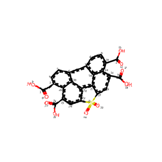 O=C(O)c1ccc2c3ccc(C(=O)O)c4c(C(=O)O)cc5c(c6c(cc(C(=O)O)c1c26)S5(=O)=O)c43